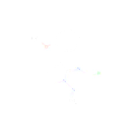 C=Nn1cccc(-c2ccccc2OC(F)(F)F)/c1=N/CBr